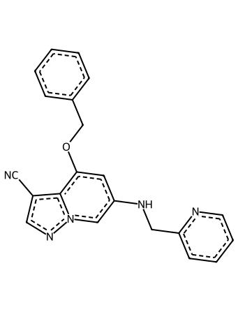 N#Cc1cnn2cc(NCc3ccccn3)cc(OCc3ccccc3)c12